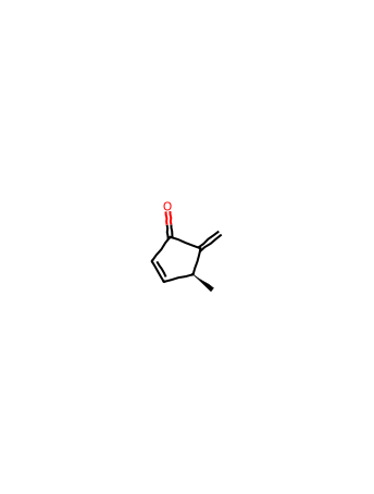 C=C1C(=O)C=C[C@@H]1C